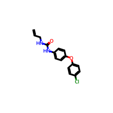 C=CCNC(=O)Nc1ccc(Oc2ccc(Cl)cc2)cc1